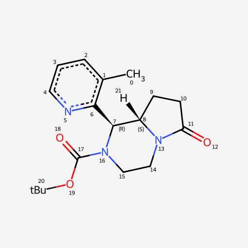 Cc1cccnc1[C@H]1[C@@H]2CCC(=O)N2CCN1C(=O)OC(C)(C)C